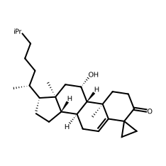 CC(C)CCC[C@@H](C)[C@H]1CC[C@H]2[C@@H]3CC=C4C5(CC5)C(=O)CC[C@]4(C)[C@H]3[C@@H](O)C[C@]12C